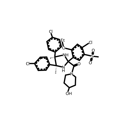 CCOc1cc(Cl)c(S(C)(=O)=O)cc1C1(C(=O)N2CCC(O)CC2)N[C@@](C)(c2ccc(Cl)cc2)[C@@](C)(c2ccc(Cl)cc2)N1